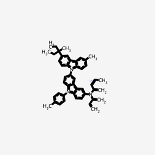 C=CC(=C)N(C(=C)/C=C\C)c1ccc2c(c1)c1cc(-n3c4ccc(C)cc4c4cc(C(C)(CC)CC)ccc43)ccc1n2-c1ccc(C)cc1